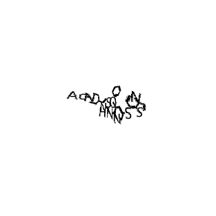 CC(=O)N1CCC(c2csc(Nc3ncc(Sc4ccnc5ccsc45)cc3Oc3ccccc3)n2)CC1